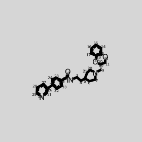 O=C(NCCC1CCN(C[C@H]2COc3ccccc3O2)CC1)c1ccc(-c2cccnc2)cc1